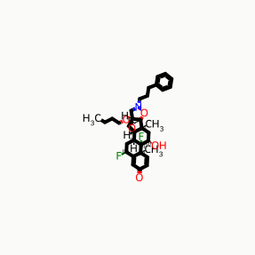 CCCCOC(=O)[C@@]12ON(CCCc3ccccc3)C[C@@H]1C[C@H]1[C@@H]3C[C@H](F)C4=CC(=O)C=C[C@]4(C)[C@@]3(F)[C@@H](O)C[C@@]12C